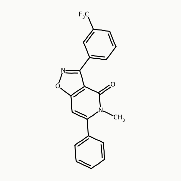 Cn1c(-c2ccccc2)cc2onc(-c3cccc(C(F)(F)F)c3)c2c1=O